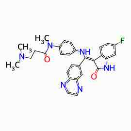 CN(C)CCC(=O)N(C)c1ccc(NC(=C2C(=O)Nc3cc(F)ccc32)c2ccc3nccnc3c2)cc1